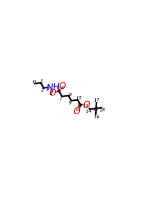 CCCNOC(=O)CCCCC(=O)OCC(C)(C)C